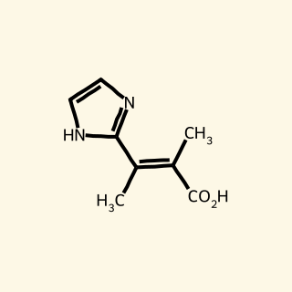 CC(C(=O)O)=C(C)c1ncc[nH]1